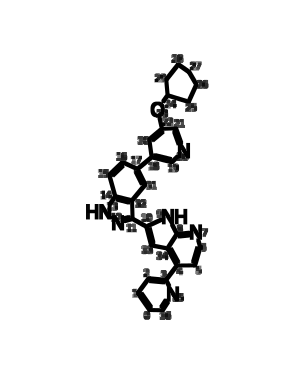 c1ccc(-c2ccnc3[nH]c(-c4n[nH]c5ccc(-c6cncc(OC7CCCCC7)c6)cc45)cc23)nc1